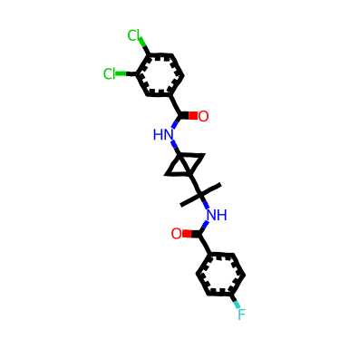 CC(C)(NC(=O)c1ccc(F)cc1)C12CC1(NC(=O)c1ccc(Cl)c(Cl)c1)C2